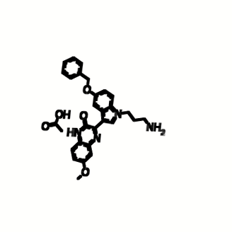 CC(=O)O.COc1ccc2[nH]c(=O)c(-c3cn(CCCN)c4ccc(OCc5ccccc5)cc34)nc2c1